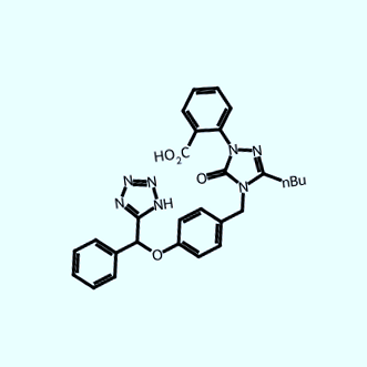 CCCCc1nn(-c2ccccc2C(=O)O)c(=O)n1Cc1ccc(OC(c2ccccc2)c2nnn[nH]2)cc1